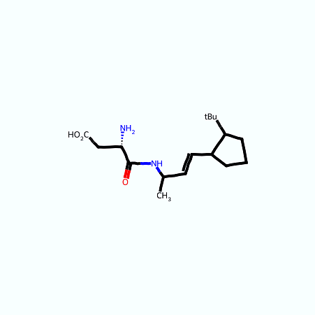 CC(C=CC1CCCC1C(C)(C)C)NC(=O)[C@@H](N)CC(=O)O